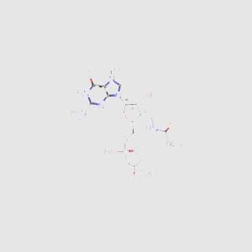 CCCCC(=O)NC[C@H]1[C@@H](O)[C@H](n2c[n+](C)c3c(=O)[nH]c(N)nc32)O[C@@H]1COP(=O)(O)OP(=O)([O-])O